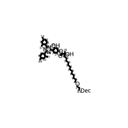 CCCCCCCCCCCCOCCCCCCCCCCCCCC(C)(O)C(=O)Oc1ccc(-c2nc(-c3ccc(C)cc3C)nc(-c3ccc(C)cc3C)n2)c(O)c1